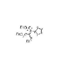 CCC=C(C(=O)OCC)C(C(=O)OCC)C1CCCC1